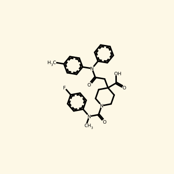 Cc1ccc(N(C(=O)CC2(C(=O)O)CCN(C(=O)N(C)c3ccc(F)cc3)CC2)c2ccccc2)cc1